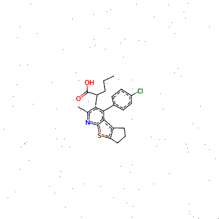 CCCC(C(=O)O)c1c(C)nc2sc3c(c2c1-c1ccc(Cl)cc1)CCC3